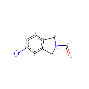 Nc1ccc2c(c1)CN(C=O)C2